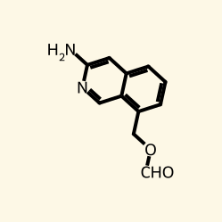 Nc1cc2cccc(COC=O)c2cn1